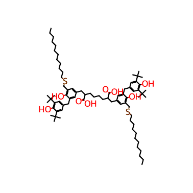 CCCCCCCCCCCCSCc1cc(CC(CCCCC(Cc2cc(CSCCCCCCCCCCCC)c(O)c(Cc3cc(C(C)(C)C)c(O)c(C(C)(C)C)c3)c2)C(=O)O)C(=O)O)cc(Cc2cc(C(C)(C)C)c(O)c(C(C)(C)C)c2)c1O